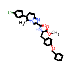 COC(=O)C(Cc1ccc(OCc2ccccc2)cc1)NC(=O)c1cn2c(C)c(-c3ccc(Cl)cc3)ccc2n1